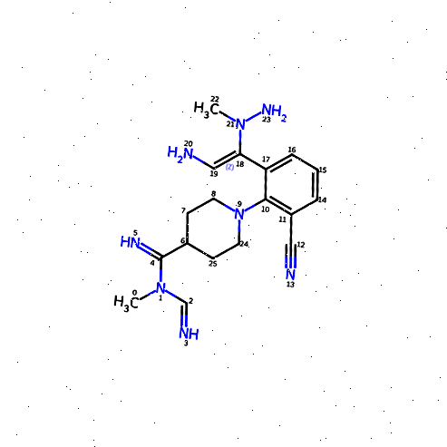 CN(C=N)C(=N)C1CCN(c2c(C#N)cccc2/C(=C/N)N(C)N)CC1